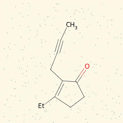 CC#CCC1=C(CC)CCC1=O